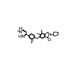 CN/C=C\C(=N)c1ccc(Cc2cc3c(c(C)c2C)CN(C2CCCC2)C3=O)c(F)c1